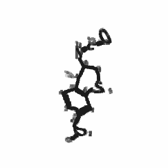 COc1ccc2c(c1)SCC(N=C=O)C2